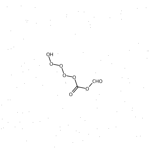 O=COC(=O)OOOOO